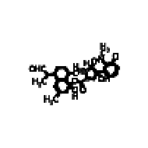 CC1=CC2C(C(C)C=O)CCC(C)C2C(O)(OC(=O)[C@@H]2C[C@@]3(O)c4cccc(Cl)c4N(C)O[C@H]3N2)C1